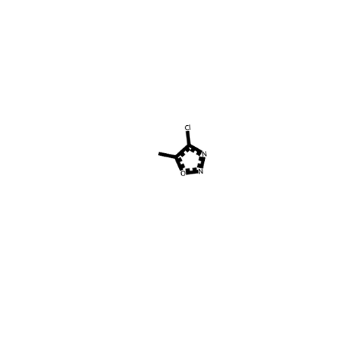 Cc1onnc1Cl